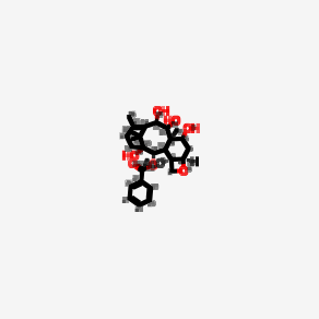 CC(=O)O[C@@]12CO[C@@H]1C[C@H](O)[C@@]1(C)C(O)[C@H](O)C3=C(C)CC[C@@](O)([C@@H](OC(=O)c4ccccc4)C12)C3(C)C